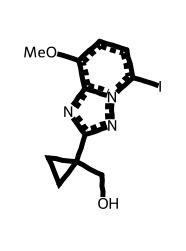 COc1ccc(I)n2nc(C3(CO)CC3)nc12